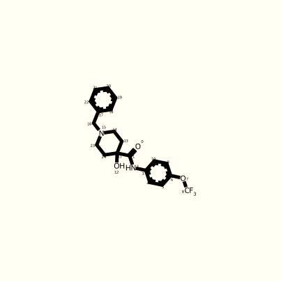 O=C(Nc1ccc(OC(F)(F)F)cc1)C1(O)CCN(Cc2ccccc2)CC1